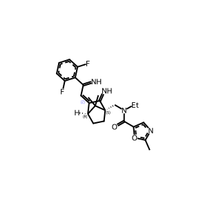 CCN(C[C@@]12CC[C@@H](/C(=C/C(=N)c3c(F)cccc3F)C1=N)C2(C)C)C(=O)c1cnc(C)o1